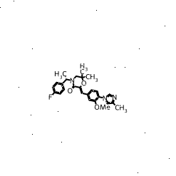 COc1cc(/C=C2\OC(C)(C)CN([C@@H](C)c3ccc(F)cc3)C2=O)ccc1-n1cnc(C)c1